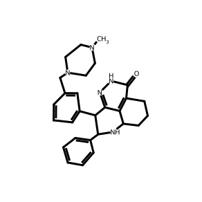 CN1CCN(Cc2cccc(C3c4n[nH]c(=O)c5c4C(CCC5)NC3c3ccccc3)c2)CC1